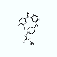 Cc1ccc(Nc2cc(OC3CCN(OC(=O)OC(C)C)CC3)ncn2)cc1I